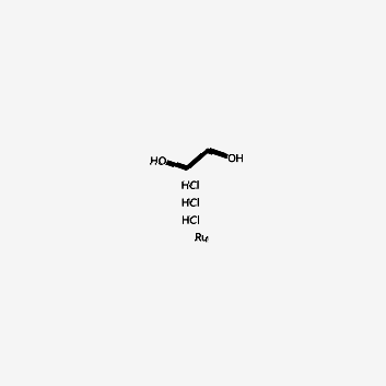 Cl.Cl.Cl.OCCO.[Ru]